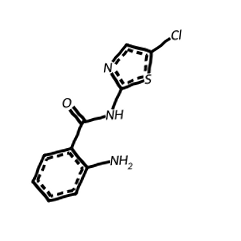 Nc1ccccc1C(=O)Nc1ncc(Cl)s1